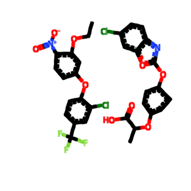 CC(Oc1ccc(Oc2nc3ccc(Cl)cc3o2)cc1)C(=O)O.CCOc1cc(Oc2ccc(C(F)(F)F)cc2Cl)ccc1[N+](=O)[O-]